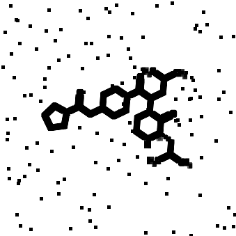 CC(C)CC(C(=O)N1CCC(CC(=O)N2CCCC2)CC1)N1CCN[C@@H](CC(C)C)C1=O